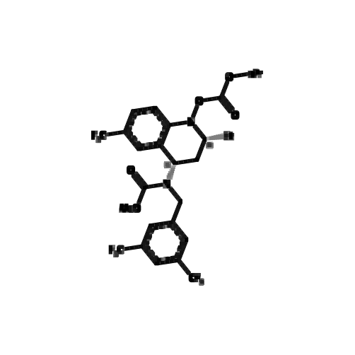 CCCOC(=O)ON1c2ccc(C(F)(F)F)cc2[C@@H](N(Cc2cc(C(F)(F)F)cc(C(F)(F)F)c2)C(=O)OC)C[C@H]1CC